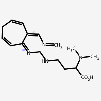 C=N/C=C1/C=CCC=C/C1=N/CNCCC(C(=O)O)N(C)C